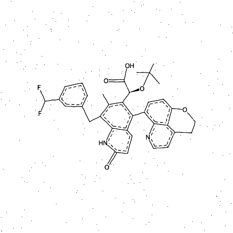 Cc1c([C@H](OC(C)(C)C)C(=O)O)c(-c2ccc3c4c(ccnc24)CCO3)c2ccc(=O)[nH]c2c1Cc1cccc(C(F)F)c1